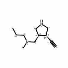 C#C[C@@H]1CNC[C@@H]1CN(C)CCC